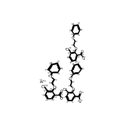 O=C([O-])c1cccc(Cl)c1OCCOc1ccccc1.O=C([O-])c1cccc(Cl)c1OCCOc1ccccc1.O=C([O-])c1cccc(Cl)c1OCCOc1ccccc1.[Al+3]